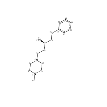 CN1CCN(CC[C@@H]([NH])CSc2ccccc2)CC1